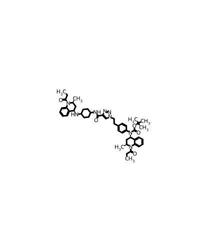 CCC(=O)N1c2ccccc2[C@H](N(C(=O)OC(C)(C)C)c2ccc(CCn3cc(C(=O)NC4CCC(N[C@@H]5C[C@H](C)N(C(=O)CC)c6ccccc65)CC4)nn3)cc2)C[C@@H]1C